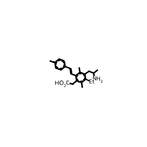 CCc1c(C)c(CC(=O)O)c(/C=C/c2ccc(C)cc2)c(C)c1CC(C)N